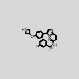 C[C@@H](Nc1ccc2ncc(-c3ccc(OC4CNC4)cc3)n2n1)c1cccc(F)c1